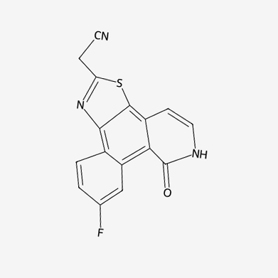 N#CCc1nc2c3ccc(F)cc3c3c(=O)[nH]ccc3c2s1